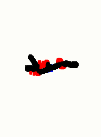 CCCCC#CCCCOC(=O)CCCCCCCN(CCCO)CCCCCCCC(O)OC(CCCCCCCC)CCCCCCCC